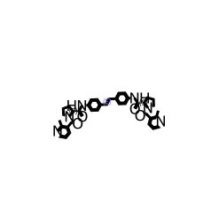 Cc1ncccc1C(=O)N1CCC[C@H]1C(=O)Nc1ccc(/C=C/c2ccc(NC(=O)[C@@H]3CCCN3C(=O)c3cccnc3C)cc2)cc1